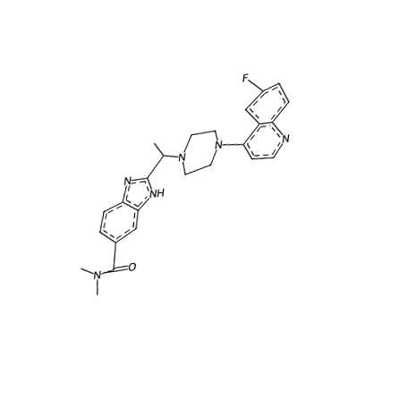 CC(c1nc2ccc(C(=O)N(C)C)cc2[nH]1)N1CCN(c2ccnc3ccc(F)cc23)CC1